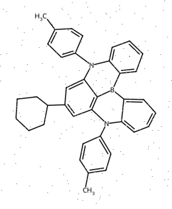 Cc1ccc(N2c3ccccc3B3c4ccccc4N(c4ccc(C)cc4)c4cc(C5CCCCC5)cc2c43)cc1